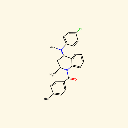 CC(=O)N(c1ccc(Cl)cc1)[C@@H]1C[C@H](C)N(C(=O)c2ccc(C(C)(C)C)cc2)c2ccccc21